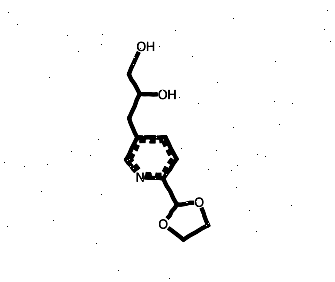 OCC(O)Cc1ccc(C2OCCO2)nc1